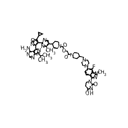 Cc1nc(-c2c(-c3nn(C(C)C)c4ncnc(N)c34)noc2C2CC2)ncc1C1CCN(C(=O)OCC(=O)N2CCC(CN3CCN(c4ccc5c(N6CCC(=O)NC6=O)nn(C)c5c4F)CC3)CC2)CC1